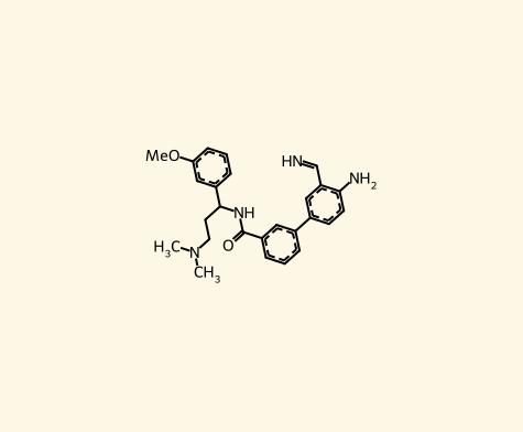 COc1cccc(C(CCN(C)C)NC(=O)c2cccc(-c3ccc(N)c(C=N)c3)c2)c1